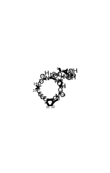 C=C[C@H]1C[C@]1(NC(=O)[C@@H]1C[C@@H]2CN1C(=O)[C@H](C(C)(C)C)NC(=O)OCC(C)(C)CCCCc1cccc3c1CN(C3)C(=O)O2)P(=O)(O)O